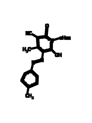 CCCCCCn1c(O)c(N=Nc2ccc(C)cc2)c(C)c(C#N)c1=O